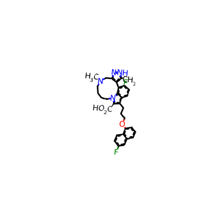 Cc1[nH]nc2c1-c1c(F)ccc3c(CCCOc4cccc5cc(F)ccc45)c(C(=O)O)n(c13)CCCCN(C)C2